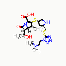 C[C@@H](O)[C@H]1C(=O)N2C(C(=O)O)=C(S[C@@H]3CN[C@H](CSc4nnnn4CCN(C)C)C3)[C@H](C)[C@H]12